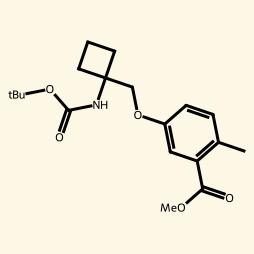 COC(=O)c1cc(OCC2(NC(=O)OC(C)(C)C)CCC2)ccc1C